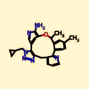 Cc1ccc2c(c1)C(C)Oc1cc(cnc1N)-c1c(nnn1CC1CC1)Cc1cccnc1-2